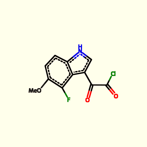 COc1ccc2[nH]cc(C(=O)C(=O)Cl)c2c1F